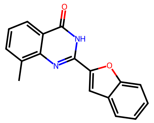 Cc1cccc2c(=O)[nH]c(-c3cc4ccccc4o3)nc12